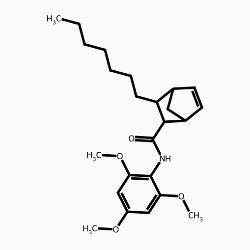 CCCCCCCC1C2C=CC(C2)C1C(=O)Nc1c(OC)cc(OC)cc1OC